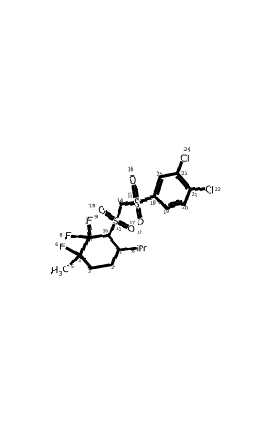 CC(C)C1CCC(C)(F)C(F)(F)C1S(=O)(=O)CS(=O)(=O)c1ccc(Cl)c(Cl)c1